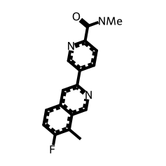 CNC(=O)c1ccc(-c2cc3ccc(F)c(C)c3cn2)cn1